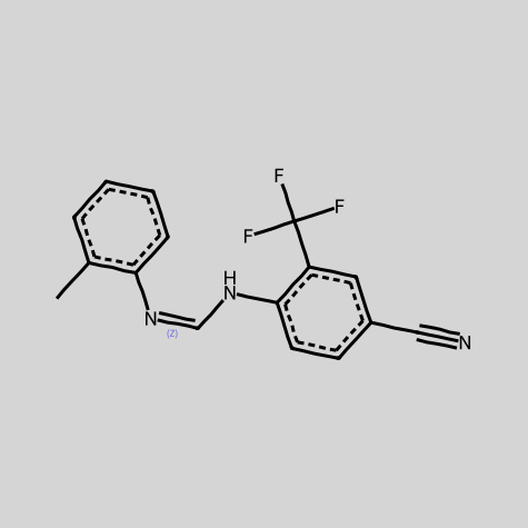 Cc1ccccc1/N=C\Nc1ccc(C#N)cc1C(F)(F)F